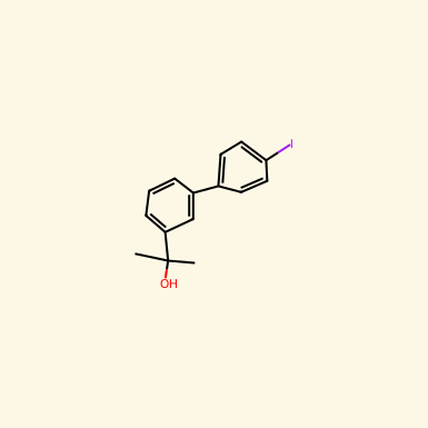 CC(C)(O)c1cccc(-c2ccc(I)cc2)c1